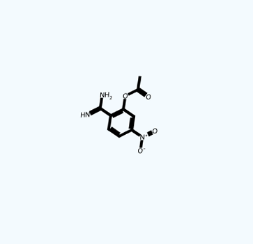 CC(=O)Oc1cc([N+](=O)[O-])ccc1C(=N)N